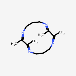 CC1=N/CCC/N=C(C)/C(C)=N\CCC\N=C\1C